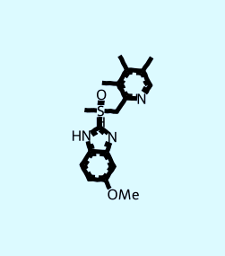 COc1ccc2[nH]c([SH](C)(=O)Cc3ncc(C)c(C)c3C)nc2c1